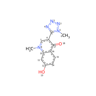 Cn1nnnc1-c1cn(C)c2cc(O)ccc2c1=O